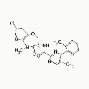 Cc1cccnc1-c1nc(C(=O)N[C@H]2COc3cc(Cl)cnc3N(C)C2=O)ncc1C